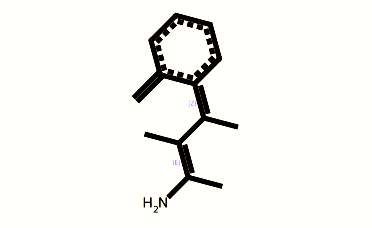 C=c1cccc/c1=C(C)/C(C)=C(\C)N